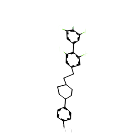 CCCc1ccc(C2CCC(CCc3cc(F)c(-c4cc(F)c(Cl)c(F)c4)c(F)c3)CC2)cc1